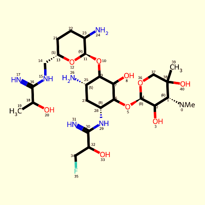 CN[C@@H]1C(O)[C@@H](OC2C(O)C(O[C@H]3O[C@H](CNC(=N)C(C)O)CCC3N)[C@@H](N)C[C@H]2NC(=N)C(O)CF)OCC1(C)O